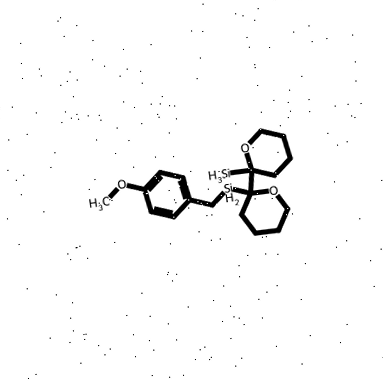 COc1ccc(C[SiH2]C2(C3([SiH3])CCCCO3)CCCCO2)cc1